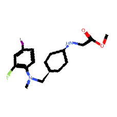 COC(=O)CN[C@H]1CC[C@@H](CN(C)c2ccc(I)cc2F)CC1